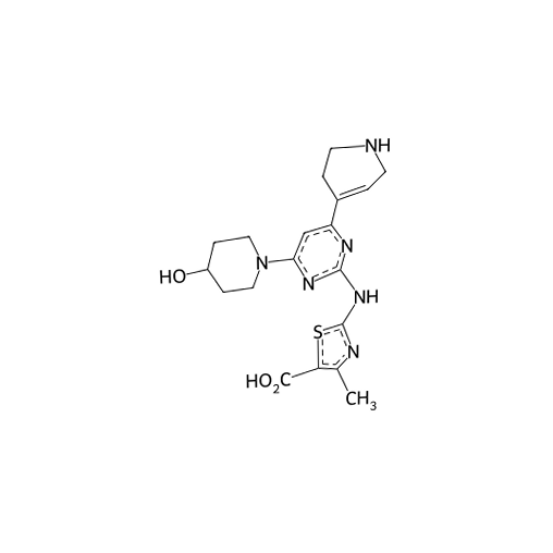 Cc1nc(Nc2nc(C3=CCNCC3)cc(N3CCC(O)CC3)n2)sc1C(=O)O